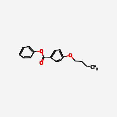 O=C(Oc1ccccc1)c1ccc(OCCCC(F)(F)F)cc1